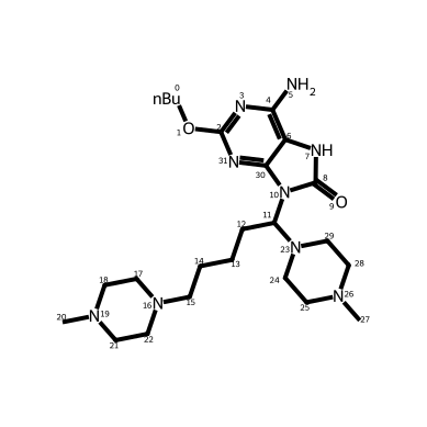 CCCCOc1nc(N)c2[nH]c(=O)n(C(CCCCN3CCN(C)CC3)N3CCN(C)CC3)c2n1